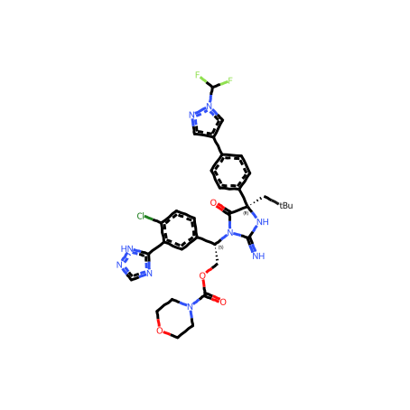 CC(C)(C)C[C@]1(c2ccc(-c3cnn(C(F)F)c3)cc2)NC(=N)N([C@H](COC(=O)N2CCOCC2)c2ccc(Cl)c(-c3ncn[nH]3)c2)C1=O